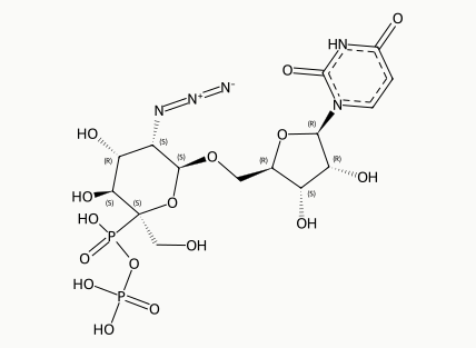 [N-]=[N+]=N[C@@H]1[C@@H](OC[C@H]2O[C@@H](n3ccc(=O)[nH]c3=O)[C@H](O)[C@@H]2O)O[C@@](CO)(P(=O)(O)OP(=O)(O)O)[C@@H](O)[C@@H]1O